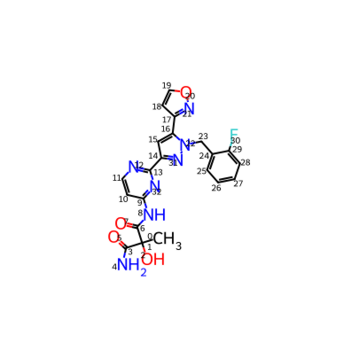 CC(O)(C(N)=O)C(=O)Nc1ccnc(-c2cc(-c3ccon3)n(Cc3ccccc3F)n2)n1